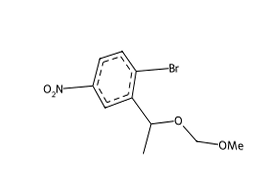 COCOC(C)c1cc([N+](=O)[O-])ccc1Br